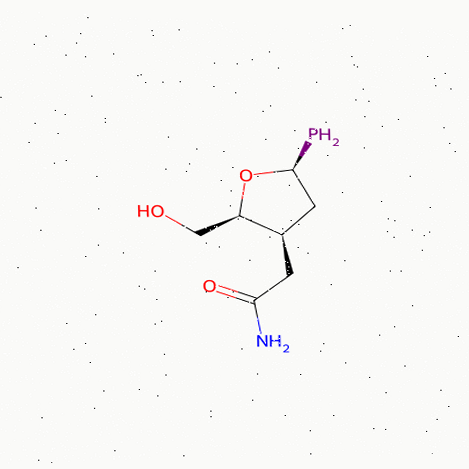 NC(=O)C[C@@H]1C[C@H](P)O[C@@H]1CO